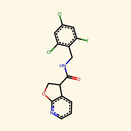 O=C(NCc1c(F)cc(Cl)cc1Cl)C1COc2ncccc21